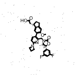 COc1cc2c(cc1-c1ccc(N3CCC3)nc1CN1C(=O)O[C@H](c3cc(F)cc(F)c3)[C@@H]1C)[C@H](CC(=O)O)CC2